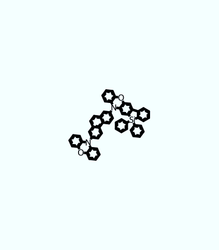 c1ccc([Si]2(c3ccccc3)c3ccccc3-c3cc4c(cc32)N(c2ccc3c(ccc5cc(N6c7ccccc7Oc7ccccc76)ccc53)c2)c2ccccc2O4)cc1